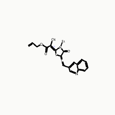 C=CCOC(=O)/C(C#N)=c1\sc(=C=Cc2cnc3ccccc3c2)c(=O)n1CC